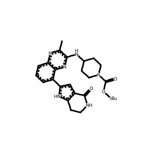 Cc1nc2cccc(-c3cc4c([nH]3)CCNC4=O)c2nc1NC1CCN(C(=O)OC(C)(C)C)CC1